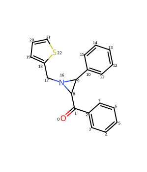 O=C(c1ccccc1)C1C(c2ccccc2)N1Cc1cccs1